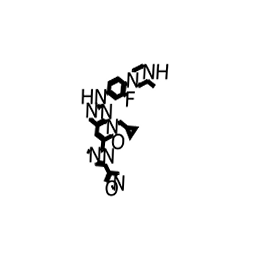 CC1CN(c2ccc(Nc3ncc4cc(-c5nc(-c6cnoc6)cn5C)c(=O)n(CC5CC5)c4n3)cc2F)CCN1